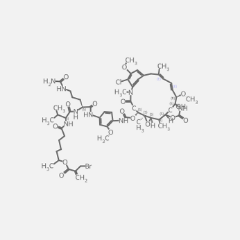 C=C(CBr)C(=O)OC(C)CCCCC(=O)N[C@H](C(=O)N[C@@H](CCCNC(N)=O)C(=O)Nc1ccc(NC(=O)O[C@H]2CC(=O)N(C)c3cc(cc(OC)c3Cl)C/C(C)=C/C=C/[C@@H](OC)[C@@]3(O)C[C@H](OC(=O)N3)[C@@H](C)[C@@H]3O[C@@]23C)c(OC)c1)C(C)C